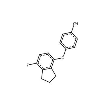 N#Cc1ccc(Oc2ccc(F)c3c2CCC3)cc1